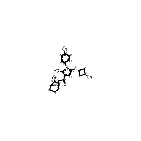 Cc1c(C(=O)CN2C3CCC2[C@@H](O)C3)cc(C[C@H]2C[C@H](C#N)C2)n1-c1ccc(C#N)cc1